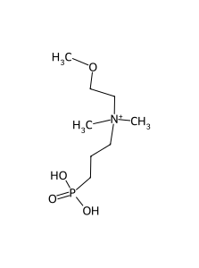 COCC[N+](C)(C)CCCP(=O)(O)O